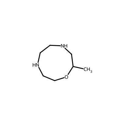 CC1CNCCNCCO1